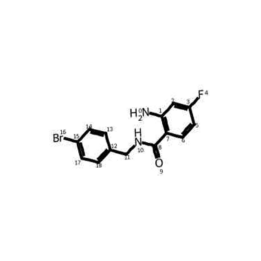 Nc1cc(F)ccc1C(=O)NCc1ccc(Br)cc1